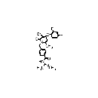 COC(C)NC(=O)c1ccc(Cn2c(C)cc(Oc3ccc(F)cc3F)c(Br)c2=O)cc1